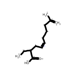 C=C(C)CCC/C=C\CC(CC)C(=O)O